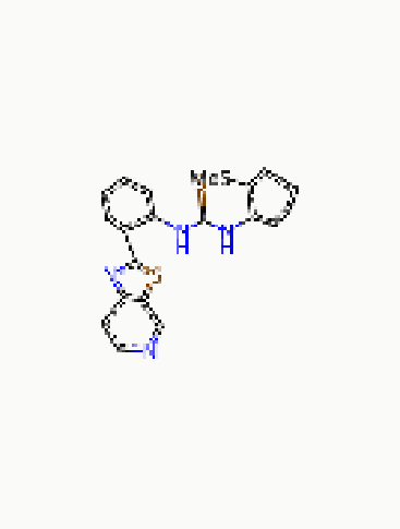 CSc1ccccc1NC(=S)Nc1ccccc1-c1nc2ccncc2s1